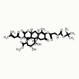 COC(=O)C[C@@H]1[C@@H](OC(=O)C=C(C)C)C(=O)O[C@@H]2C[C@H]3C(C)=C(OC(=O)CNC(=O)OC(C)(C)C)C(=O)C[C@]3(C)C3[C@@H](O)[C@H](O)COC[C@@]312